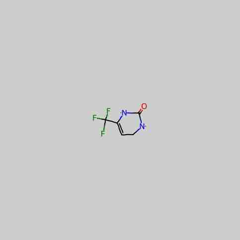 O=C1[N]CC=C(C(F)(F)F)[N]1